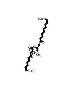 CCCCCCCC/C=C\CCCCCCCC(=O)OC[C@H](C[N+](C)(C)C)OC(=O)CCCCCCC/C=C\CCCCCCCC